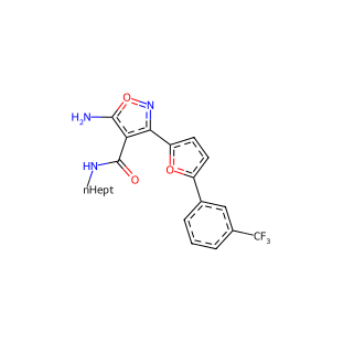 CCCCCCCNC(=O)c1c(-c2ccc(-c3cccc(C(F)(F)F)c3)o2)noc1N